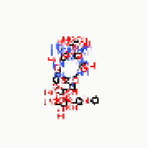 CC(c1ccccc1)C1NC(=O)CNC(=O)C(CO)NC(=O)C(C(O)C2CNC(=N)N2C2OC(CO)C(O)C(O)C2O)NC(=O)C(C(O)C2CNC(=N)N2)NC(=O)C(Cc2ccc(OC3OC(CO)C(OC4OC(CO)C(O)C(O)C4OCc4ccc(OCc5ccccc5)cc4)C(O)C3O)cc2)NC1=O